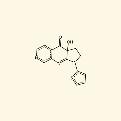 O=C1c2ccncc2N=C2N(c3cccs3)CCC12O